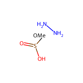 COS(=O)O.NN